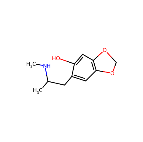 CNC(C)Cc1cc2c(cc1O)OCO2